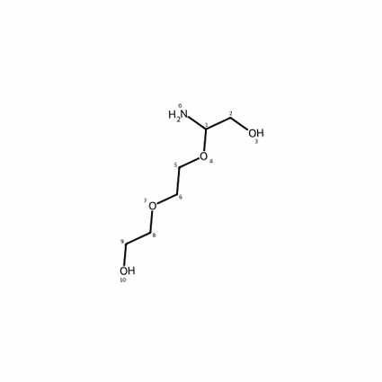 NC(CO)OCCOCCO